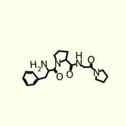 NC(Cc1ccccc1)C(=O)N1CCCC1C(=O)NCC(=O)N1CCCC1